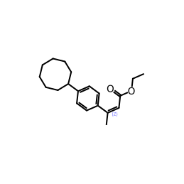 CCOC(=O)/C=C(/C)c1ccc(C2CCCCCCC2)cc1